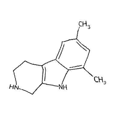 Cc1cc(C)c2[nH]c3c(c2c1)CCNC3